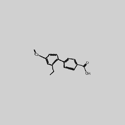 CCc1cc(OC)ccc1-c1ccc(C(=O)O)cc1